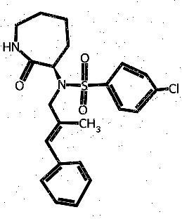 C/C(=C\c1ccccc1)CN([C@@H]1CCCCNC1=O)S(=O)(=O)c1ccc(Cl)cc1